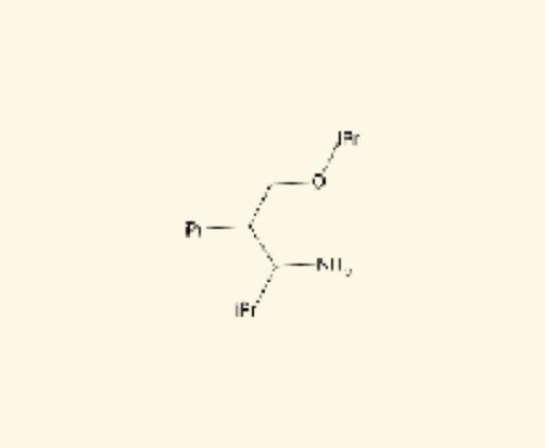 CC(C)OCC(C(C)C)C(N)C(C)C